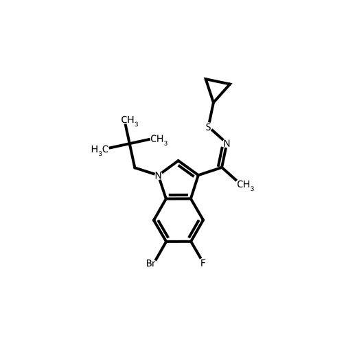 C/C(=N/SC1CC1)c1cn(CC(C)(C)C)c2cc(Br)c(F)cc12